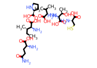 CC(C)[C@H](N)C(=O)O.CC[C@H](C)[C@H](N)C(=O)O.C[C@@H](O)[C@H](N)C(=O)O.NC(=O)CC[C@H](N)C(=O)O.N[C@@H](CS)C(=O)O.O=C(O)[C@@H]1CCCN1